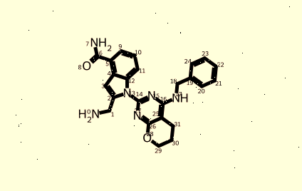 NCc1cc2c(C(N)=O)cccc2n1-c1nc(NCc2ccccc2)c2c(n1)OCCC2